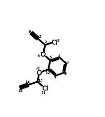 C#CC(Cl)Oc1ccccc1OC(Cl)C#C